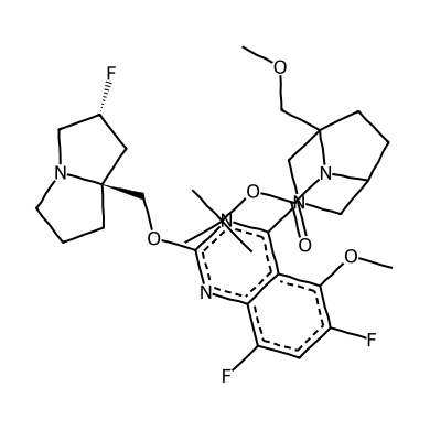 COCC12CCC(CN(c3nc(OC[C@@]45CCCN4C[C@H](F)C5)nc4c(F)cc(F)c(OC)c34)C1)N2C(=O)OC(C)(C)C